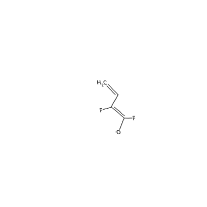 C=C/C(F)=C(/[O])F